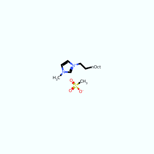 CCCCCCCCCC[n+]1ccn(C)c1.CS(=O)(=O)[O-]